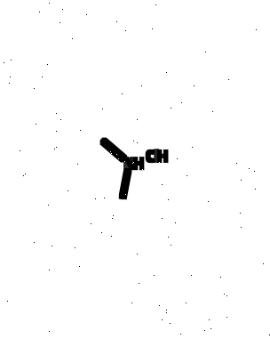 CNC.Cl